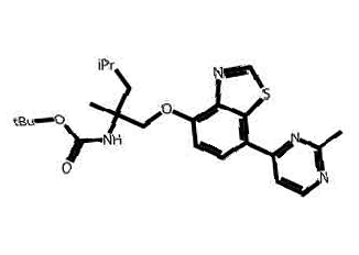 Cc1nccc(-c2ccc(OCC(C)(CC(C)C)NC(=O)OC(C)(C)C)c3ncsc23)n1